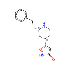 O=c1cc([C@H]2CCN[C@@H](CCc3ccccc3)C2)o[nH]1